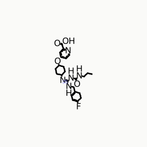 CCCNC(=O)N/C(=N\C1CCC(Oc2ccnc(C(=O)O)c2)CC1)NCC1=CC=C(F)CC1